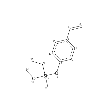 C=Cc1ccc(O[Si](C)(CC)OC)cc1